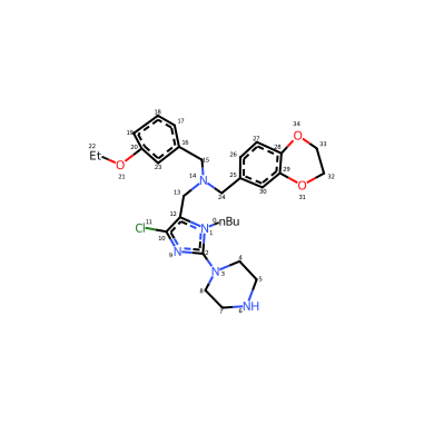 CCCCn1c(N2CCNCC2)nc(Cl)c1CN(Cc1cccc(OCC)c1)Cc1ccc2c(c1)OCCO2